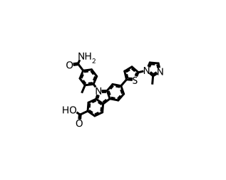 Cc1cc(C(N)=O)ccc1-n1c2cc(C(=O)O)ccc2c2ccc(-c3ccc(-n4ccnc4C)s3)cc21